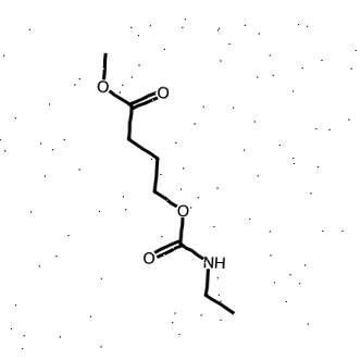 CCNC(=O)OCCCC(=O)OC